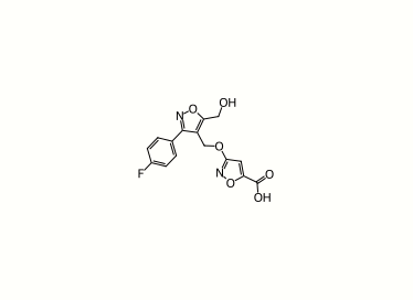 O=C(O)c1cc(OCc2c(-c3ccc(F)cc3)noc2CO)no1